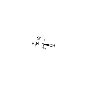 N.NO.[SrH2]